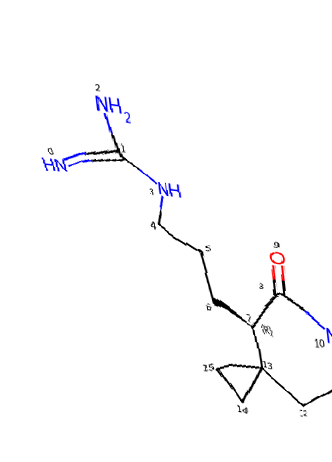 N=C(N)NCCC[C@H]1C(=O)NCCC12CC2